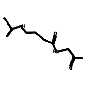 CC(=O)CNC(=O)CCCNC(C)C